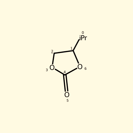 CC(C)C1[CH]OC(=O)O1